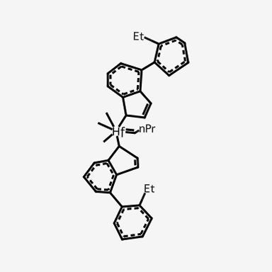 CCC[CH]=[Hf]([CH3])([CH3])([CH3])([CH]1C=Cc2c(-c3ccccc3CC)cccc21)[CH]1C=Cc2c(-c3ccccc3CC)cccc21